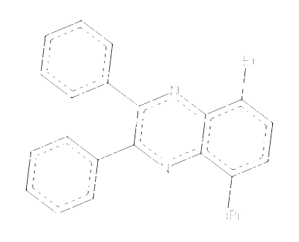 CCc1ccc(C(C)C)c2nc(-c3ccccc3)c(-c3ccccc3)nc12